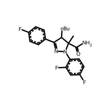 CCCCC1C(c2ccc(F)cc2)=NN(c2ccc(F)cc2F)C1(C)C(N)=O